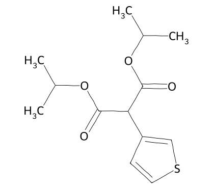 CC(C)OC(=O)C(C(=O)OC(C)C)c1ccsc1